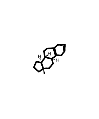 C[C@@]12CCC[C@H]1[C@@H]1CCC3=C(CC=CC3)[C@H]1CC2